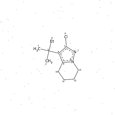 CCC(C)(C)c1c(Cl)nn2c1CCCC2